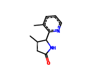 Cc1cccnc1C1NC(=O)CC1C